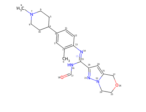 Cc1cc(C2CCN(C)CC2)ccc1/N=C(\NC=O)c1cc2n(n1)CCOC2